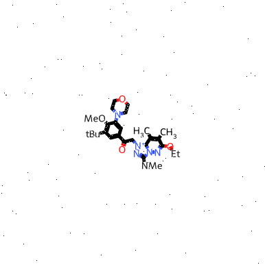 CCOc1nn2c(NC)n[n+](CC(=O)c3cc(N4CCOCC4)c(OC)c(C(C)(C)C)c3)c2c(C)c1C